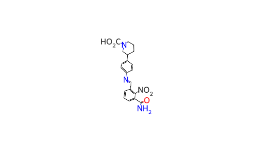 NC(=O)c1cccc(/C=N/c2ccc(C3CCCN(C(=O)O)C3)cc2)c1[N+](=O)[O-]